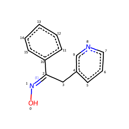 O/N=C(\Cc1cccnc1)c1ccccc1